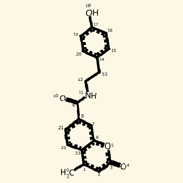 Cc1cc(=O)oc2cc(C(=O)NCCc3ccc(O)cc3)ccc12